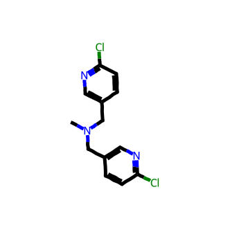 CN(Cc1ccc(Cl)nc1)Cc1ccc(Cl)nc1